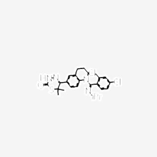 CC(C)N=C(c1ccc(Cl)cc1Cl)N1CCCc2cc(C3=NNC(=O)SC3(C)C)ccc21